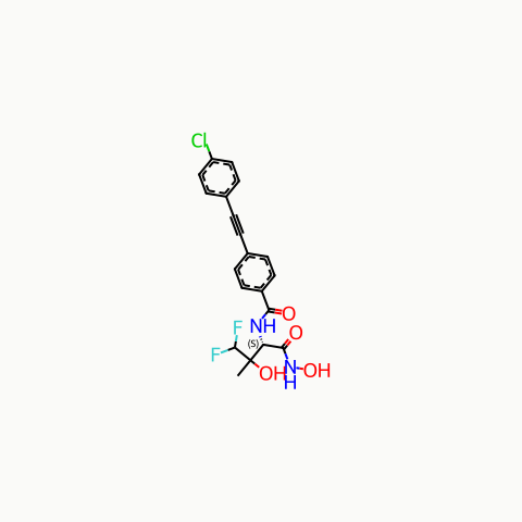 CC(O)(C(F)F)[C@H](NC(=O)c1ccc(C#Cc2ccc(Cl)cc2)cc1)C(=O)NO